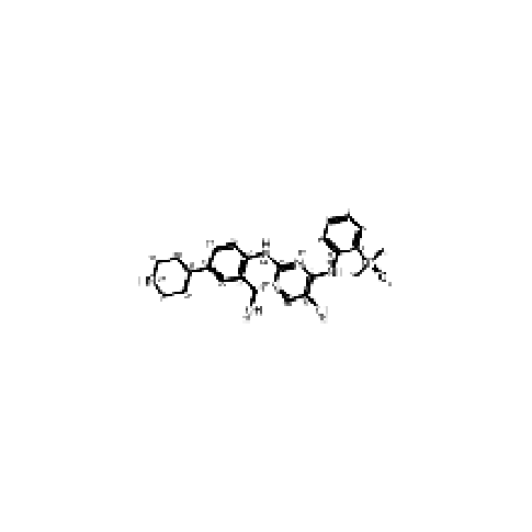 CP(C)(=O)c1ccccc1Nc1nc(Nc2ccc(C3CCNCC3)cc2CO)ncc1Cl